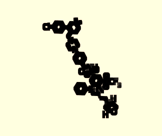 CC1(C)CCC(CN2CCN(c3ccc(C(=O)NS(=O)(=O)c4ccc(N[C@H](CCN5C[C@@H]6C[C@H]5CO6)CSc5ccccc5)c(S(=O)(=O)C(F)(F)F)c4)cc3)CC2)=C(c2ccc(Cl)cc2)C1